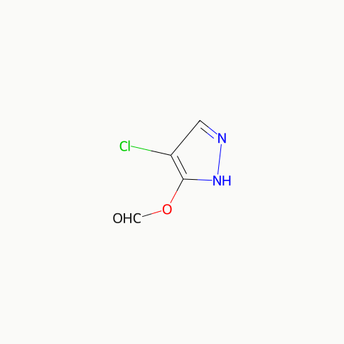 O=COc1[nH]ncc1Cl